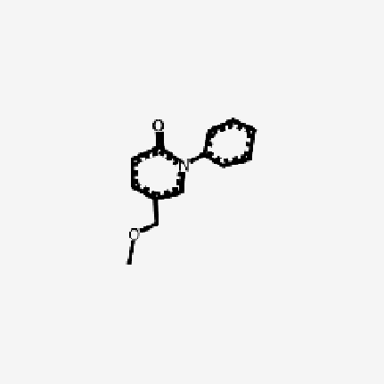 COCc1ccc(=O)n(-c2ccccc2)c1